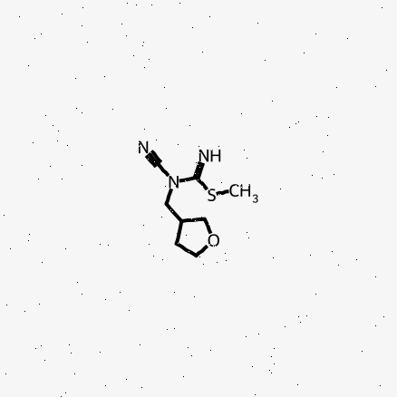 CSC(=N)N(C#N)CC1CCOC1